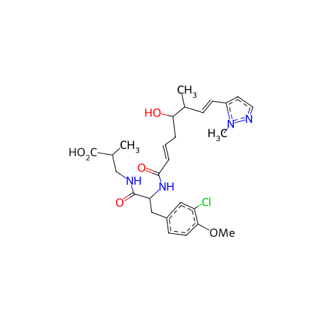 COc1ccc(CC(NC(=O)/C=C/CC(O)C(C)/C=C/c2ccnn2C)C(=O)NCC(C)C(=O)O)cc1Cl